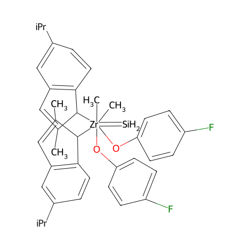 CC1=Cc2cc(C(C)C)ccc2[CH]1[Zr]([CH3])([CH3])(=[SiH2])([O]c1ccc(F)cc1)([O]c1ccc(F)cc1)[CH]1C(C)=Cc2cc(C(C)C)ccc21